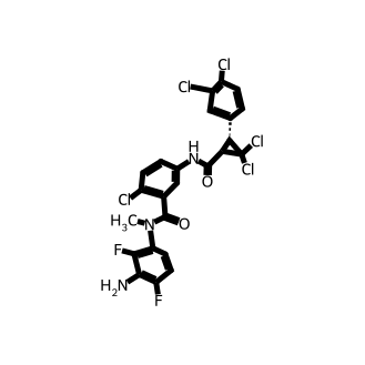 CN(C(=O)c1cc(NC(=O)C2[C@H](c3ccc(Cl)c(Cl)c3)C2(Cl)Cl)ccc1Cl)c1ccc(F)c(N)c1F